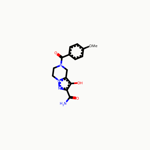 COc1ccc(C(=O)N2CCn3nc(C(N)=O)c(O)c3C2)cc1